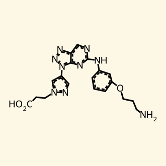 NCCCOc1cccc(Nc2ncc3nnn(-c4cnn(CCC(=O)O)c4)c3n2)c1